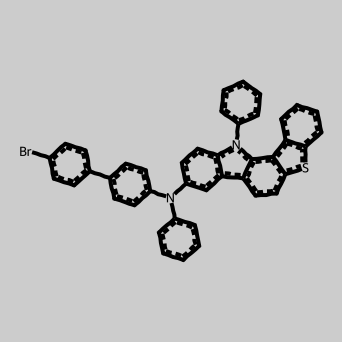 Brc1ccc(-c2ccc(N(c3ccccc3)c3ccc4c(c3)c3ccc5sc6ccccc6c5c3n4-c3ccccc3)cc2)cc1